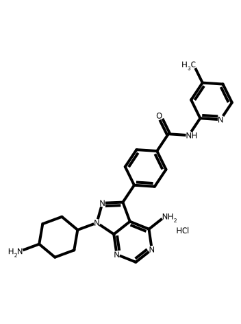 Cc1ccnc(NC(=O)c2ccc(-c3nn(C4CCC(N)CC4)c4ncnc(N)c34)cc2)c1.Cl